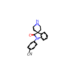 N#Cc1ccc(N2C(=O)C3(CCNCC3)c3ccccc32)cc1